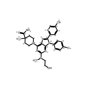 CN(CCO)c1nc(N2CCC(C)(C(N)=O)CC2)c2nc(-c3ccc(C#N)cn3)n(-c3ccc(Cl)cc3)c2n1